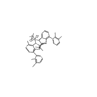 CC1=Cc2c(-c3cccc(C)c3C)ccc(C)c2[CH]1[Zr]([Cl])([Cl])([CH]1C(C(C)C)=Cc2c(-c3cccc(C)c3C)cccc21)[SiH](C)C